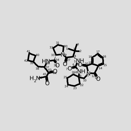 CC(C)(C)[C@H](NC(=O)NC1(CN2C(=O)c3ccccc3C2=O)CCCCC1)C(=O)N1CCC[C@H]1C(=O)NC(CC1CCC1)C(=O)C(N)=O